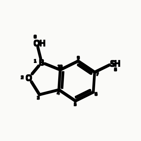 OB1OCc2ccc(S)cc21